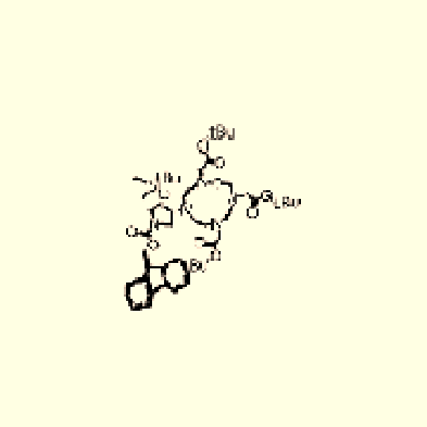 CC(C)(C)OC(=O)CN1CCN(CC(=O)OC(C)(C)C)CCN([C@H]2CN(C(=O)OCC3c4ccccc4-c4ccccc43)C[C@@H]2O[Si](C)(C)C(C)(C)C)CCN(CC(=O)OC(C)(C)C)CC1